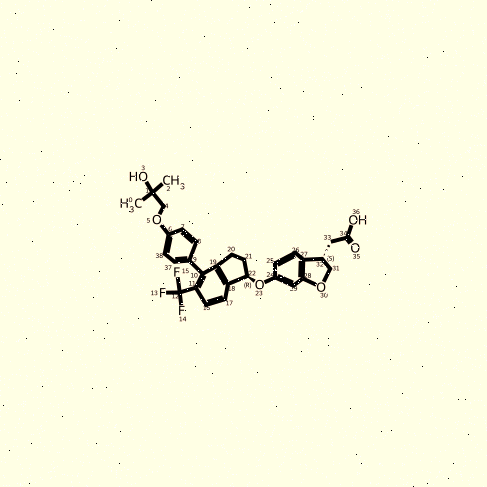 CC(C)(O)COc1ccc(-c2c(C(F)(F)F)ccc3c2CC[C@H]3Oc2ccc3c(c2)OC[C@H]3CC(=O)O)cc1